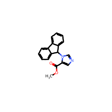 COC(=O)c1cncn1C1c2ccccc2-c2ccccc21